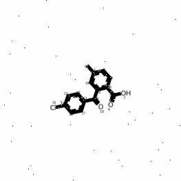 Cc1ccc(C(=O)O)c(C(=O)c2ccc(Cl)cc2)c1